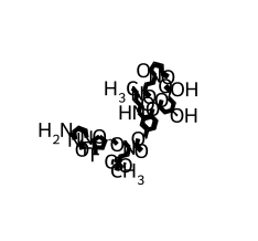 CN(CC(=O)Nc1cc(COC(=O)N(CCS(C)(=O)=O)COC[C@@H]2CC(F)(F)[C@H](n3ccc(N)nc3=O)O2)ccc1O[C@@H]1C[C@H](O)C[C@H](C(=O)O)O1)C(=O)CCN1C(=O)C=CC1=O